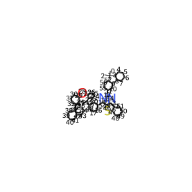 CC1(C)c2ccccc2-c2cc(-c3nc(-c4ccc5c(c4)C4(c6ccccc6Oc6ccccc64)c4cc6ccccc6cc4-5)c4sc5ccccc5c4n3)ccc21